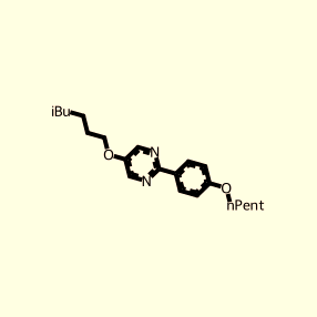 CCCCCOc1ccc(-c2ncc(OCCCC(C)CC)cn2)cc1